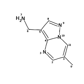 Cc1cnc2c([CH]N)cnn2c1